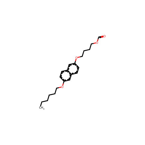 CCCCCCOc1ccc2cc(OCCCCOC=O)ccc2c1